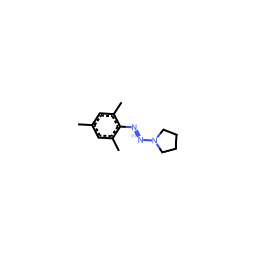 Cc1cc(C)c(/N=N/N2CCCC2)c(C)c1